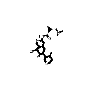 Cc1ccncc1-c1cc2cc(NC(=O)[C@@H]3C[C@@H]3CN(C)C)ncc2c(Cl)c1F